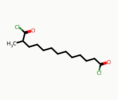 CC(CCCCCCCCCCC(=O)Cl)C(=O)Cl